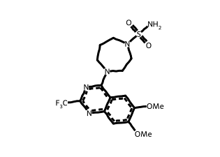 COc1cc2nc(C(F)(F)F)nc(N3CCCN(S(N)(=O)=O)CC3)c2cc1OC